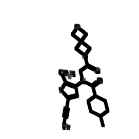 CC(C)C#Cc1cc(N(CC(=O)N2CC3(COC3)C2)C(=O)C2CCC(C)CC2)c(C(=O)O)s1